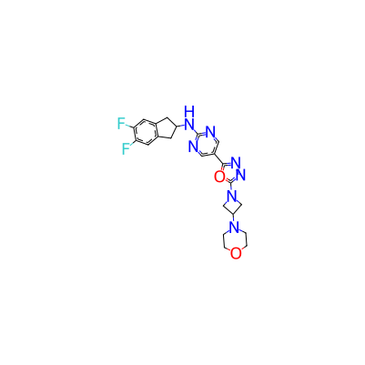 Fc1cc2c(cc1F)CC(Nc1ncc(-c3nnc(N4CC(N5CCOCC5)C4)o3)cn1)C2